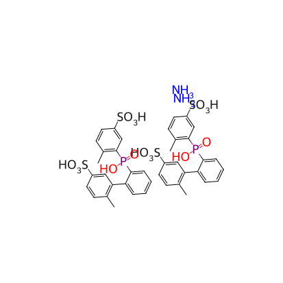 Cc1ccc(S(=O)(=O)O)cc1-c1ccccc1P(=O)(O)c1cc(S(=O)(=O)O)ccc1C.Cc1ccc(S(=O)(=O)O)cc1-c1ccccc1P(=O)(O)c1cc(S(=O)(=O)O)ccc1C.N.N